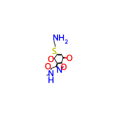 CNC(=O)c1noc2c1C(=O)C(SCCN)=CC2=O